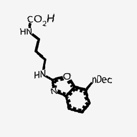 CCCCCCCCCCc1cccc2nc(NCCCNC(=O)O)oc12